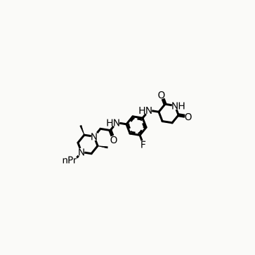 CCCN1C[C@@H](C)N(CC(=O)Nc2cc(F)cc(NC3CCC(=O)NC3=O)c2)[C@@H](C)C1